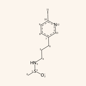 C[S+]([O-])NCCCc1ccc(I)nc1